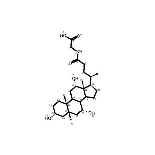 C[C@H](CCC(=O)NCC(=O)O)[C@H]1CCC2C3C(C[C@H](O)[C@@]21C)[C@@]1(C)CC[C@@H](O)C[C@H]1C[C@H]3O